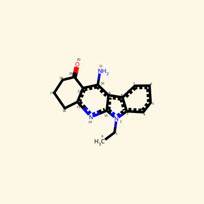 CCn1c2ccccc2c2c(N)c3c(nc21)CCCC3=O